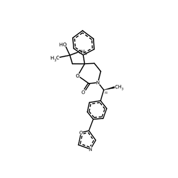 C[C@@H](c1ccc(-c2cnco2)cc1)N1CCC(CC(C)(C)O)(c2ccccc2)OC1=O